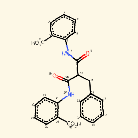 O=C(O)c1ccccc1NC(=O)C(Cc1ccccc1)C(=O)Nc1ccccc1C(=O)O